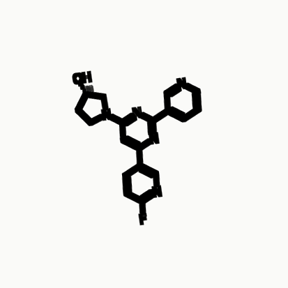 O[C@H]1CCN(c2cc(-c3ccc(F)nc3)nc(-c3cccnc3)n2)C1